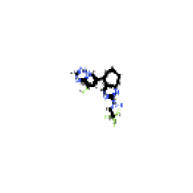 Fc1cc(C2=CCCCc3nc(NCC(F)(F)F)ncc32)cn2ncnc12